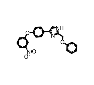 O=[N+]([O-])c1cccc(Oc2ccc(-c3c[nH]c(COc4ccccc4)n3)cc2)c1